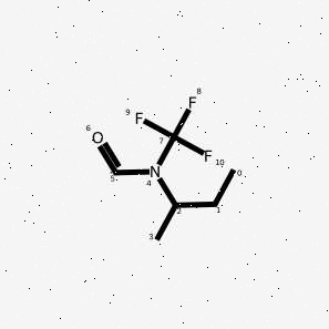 CCC(C)N([C]=O)C(F)(F)F